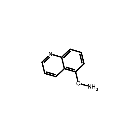 NOc1cccc2ncccc12